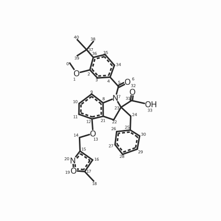 COc1cc(C(=O)N2c3cccc(OCc4cc(C)on4)c3CC2(Cc2ccccc2)C(=O)O)ccc1C(C)(C)C